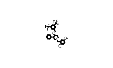 COc1ccc(OC)c(CN2CC[C@H](OCc3cc(C(F)(F)F)cc(C(F)(F)F)c3)[C@H](c3ccccc3)C2)c1